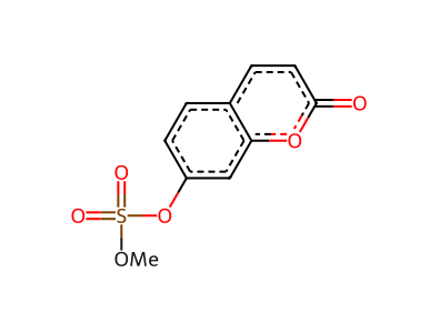 COS(=O)(=O)Oc1ccc2ccc(=O)oc2c1